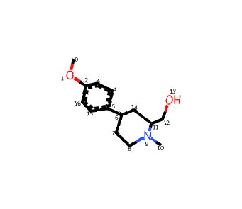 COc1ccc(C2CCN(C)C(CO)C2)cc1